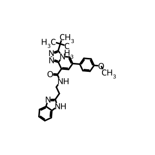 COc1ccc(-c2cc(C(=O)NCCc3nc4ccccc4[nH]3)c3nnc(C(C)(C)C)n3c2)cc1